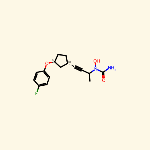 CC(C#C[C@H]1CC[C@H](Oc2ccc(F)cc2)C1)N(O)C(N)=O